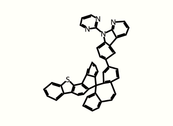 C1=Cc2ccc(-c3ccc4c(c3)c3cccnc3n4-c3ncccn3)cc2C2(c3ccccc31)c1ccccc1-c1c2ccc2c1sc1ccccc12